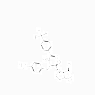 Nc1ccc(CC(NC(=O)c2ccc(C(F)(F)F)cc2)C(=O)N2CCC3OCC(=O)C32)cc1